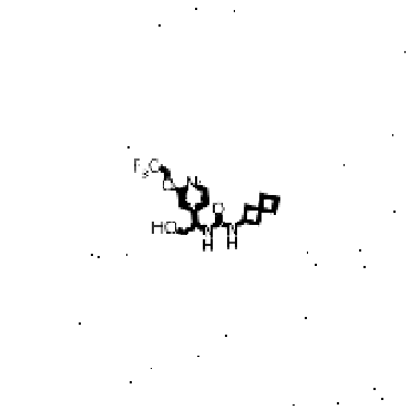 O=C(NC1CC2(CCC2)C1)NC(CO)c1ccnc(OCC(F)(F)F)c1